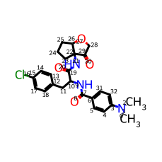 CN(C)c1ccc(C(=O)NC(Cc2ccc(Cl)cc2)C(=O)NC23CCCC2OCC3=O)cc1